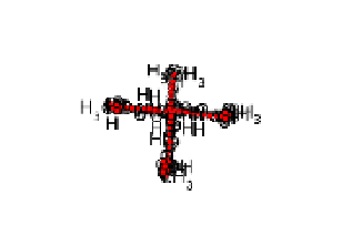 CC(=O)N[C@H]1[C@@H]2OC[C@@](COCCCCC(=O)NCCCNC(=O)CCOCC(COCCC(=O)NCCCNC(=O)CCCCOC[C@@]34CC[C@@H](NC(C)=O)[C@H](OC3)O4)(COCCC(=O)NCCCNC(=O)CCCCOC[C@@]34CC[C@@H](NC(C)=O)[C@H](OC3)O4)NC(=O)CCCCCCCCCCC(=O)C(C)C)(C[C@@H]1O)O2